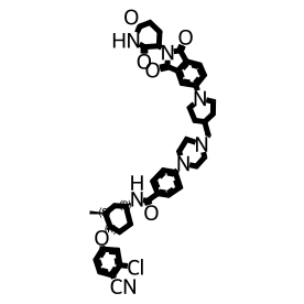 C[C@H]1C[C@H](NC(=O)c2ccc(N3CCN(CC4CCN(c5ccc6c(c5)C(=O)N(C5CCC(=O)NC5=O)C6=O)CC4)CC3)cc2)CC[C@H]1Oc1ccc(C#N)c(Cl)c1